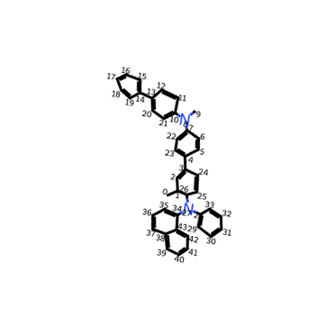 CC1C=C(c2ccc(N(C)c3ccc(-c4ccccc4)cc3)cc2)C=CC1N(c1ccccc1)c1cccc2ccccc12